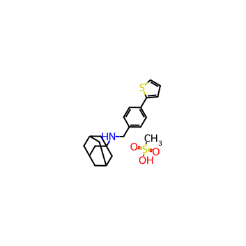 CS(=O)(=O)O.c1csc(-c2ccc(CNC34CC5CC(CC(C5)C3)C4)cc2)c1